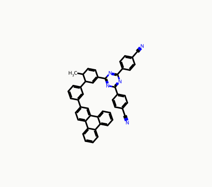 CC1C=CC(c2nc(-c3ccc(C#N)cc3)nc(-c3ccc(C#N)cc3)n2)=CC1c1cccc(-c2ccc3c4ccccc4c4ccccc4c3c2)c1